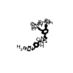 CC(C)S(C#Cc1ccc(-c2csc(NC(=O)c3ccc(CN4CCN(C)CC4)cc3)n2)cc1C#CS(C(C)C)(C(C)C)C(C)C)(C(C)C)C(C)C